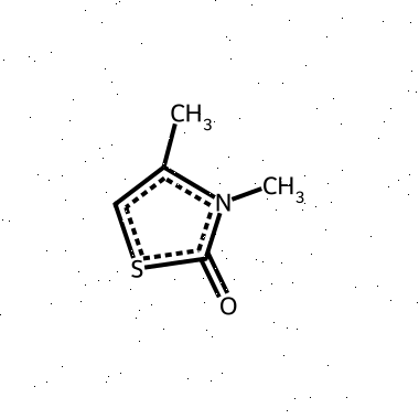 Cc1csc(=O)n1C